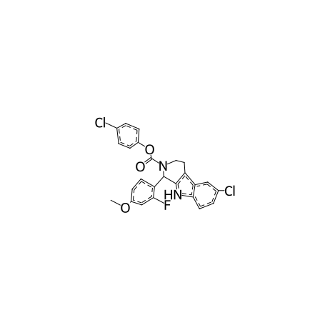 COc1ccc(C2c3[nH]c4ccc(Cl)cc4c3CCN2C(=O)Oc2ccc(Cl)cc2)c(F)c1